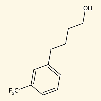 OCCCCc1cccc(C(F)(F)F)c1